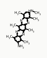 CNc1cc(C)c2nc3c(C)c4nc5c(C)cc(N)c(C)c5nc4c(C)c3nc2c1C